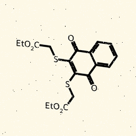 CCOC(=O)CSC1=C(SCC(=O)OCC)C(=O)c2ccccc2C1=O